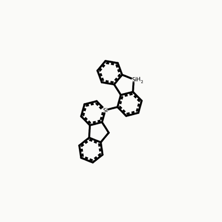 c1ccc2c(c1)Cc1c-2ccc[si]1-c1cccc2c1-c1ccccc1[SiH2]2